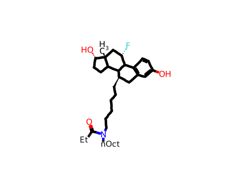 CCCCCCCCN(CCCCCC[C@@H]1Cc2cc(O)ccc2C2C1C1CC[C@H](O)[C@@]1(C)C[C@@H]2F)C(=O)CC